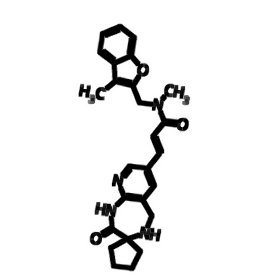 Cc1c(CN(C)C(=O)/C=C/c2cnc3c(c2)CNC2(CCCC2)C(=O)N3)oc2ccccc12